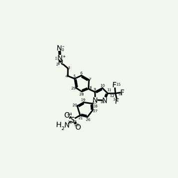 [N-]=[N+]=NCCc1ccc(-c2cc(C(F)(F)F)nn2-c2ccc(S(N)(=O)=O)cc2)cc1